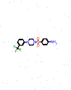 Nc1ccc(S(=O)(=O)N2CCN(c3cccc(C(F)(F)F)c3)CC2)cc1